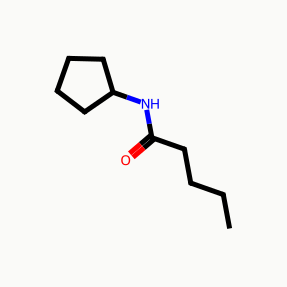 CCCCC(=O)NC1CCCC1